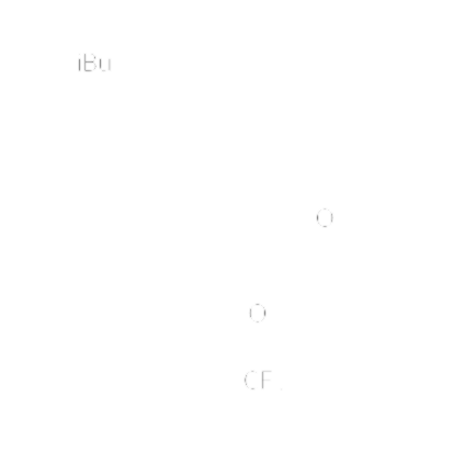 CCC(C)c1ccc(OC(C)OC(F)(F)F)cc1